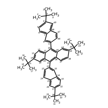 CC(C)(C)c1ccc2cc(-c3c4ccc(C(C)(C)C)cc4c(-c4ccc5cc(C(C)(C)C)ccc5c4)c4ccc(C(C)(C)C)cc34)ccc2c1